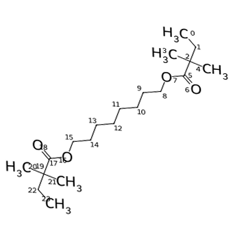 CCC(C)(C)C(=O)OCCCCCCCCOC(=O)C(C)(C)CC